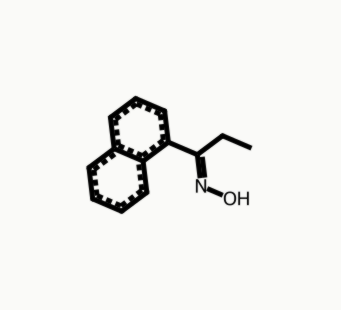 CCC(=NO)c1cccc2ccccc12